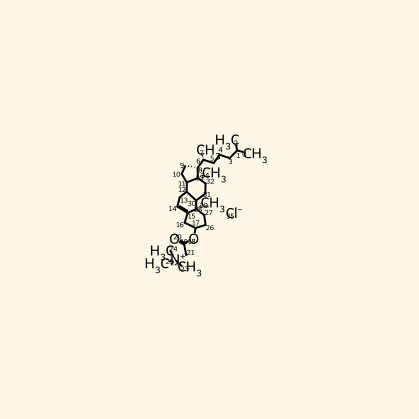 CC(C)CCC[C@@H](C)[C@H]1CCC2C3CC=C4CC(OC(=O)C[N+](C)(C)C)CC[C@]4(C)C3CC[C@@]21C.[Cl-]